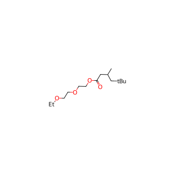 [CH2]COCCOCCOC(=O)CC(C)CC(C)(C)C